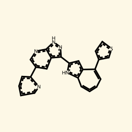 C1=CC=C(c2ccsc2)c2cc(-c3n[nH]c4ncc(-c5ccccn5)cc34)[nH]c2C=1